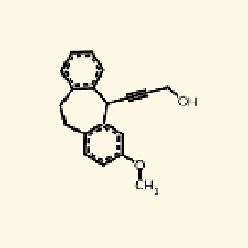 COc1ccc2c(c1)C(C#CCO)c1ccccc1CC2